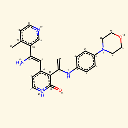 C=C(Nc1ccc(N2CCOCC2)cc1)c1c(/C=C(\N)c2cnccc2C)cc[nH]c1=O